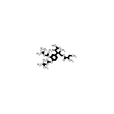 CCC(C)C(=O)OCC(C)C(c1ccc(OC(=O)OC(C)(C)C)c(OC(=O)OC(C)(C)C)c1)[C@H](N)C(=O)O